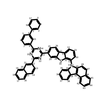 c1ccc(-c2cccc(-c3nc(-c4ccc5ccccc5c4)nc(-c4ccc5c(c4)sc4c(-n6c7ccccc7c7c8ccccc8ccc76)cccc45)n3)c2)cc1